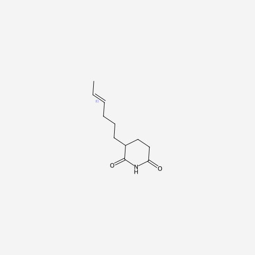 C/C=C/CCCC1CCC(=O)NC1=O